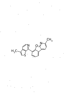 Cc1ccc2c(n1)oc1c(-c3nccc4c(C)csc34)cccc12